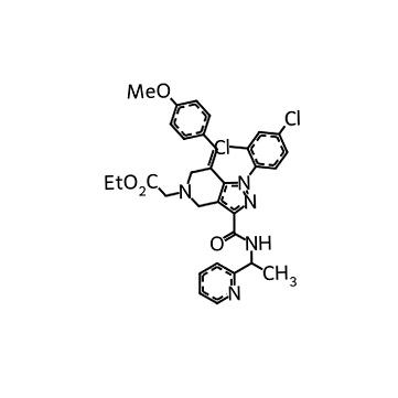 CCOC(=O)CN1CC(=Cc2ccc(OC)cc2)c2c(c(C(=O)NC(C)c3ccccn3)nn2-c2ccc(Cl)cc2Cl)C1